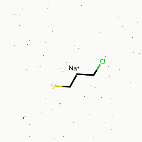 [Na+].[S-]CCCCl